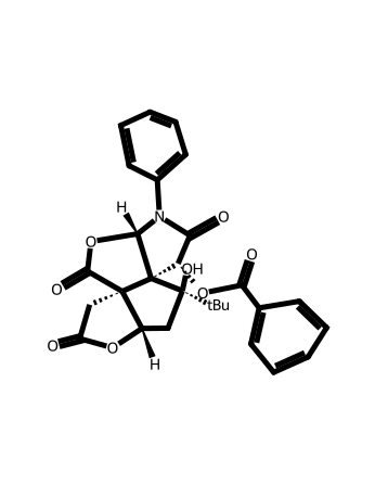 CC(C)(C)[C@]1(O)C[C@@H]2OC(=O)C[C@@]23C(=O)O[C@@H]2N(c4ccccc4)C(=O)[C@H](OC(=O)c4ccccc4)[C@]213